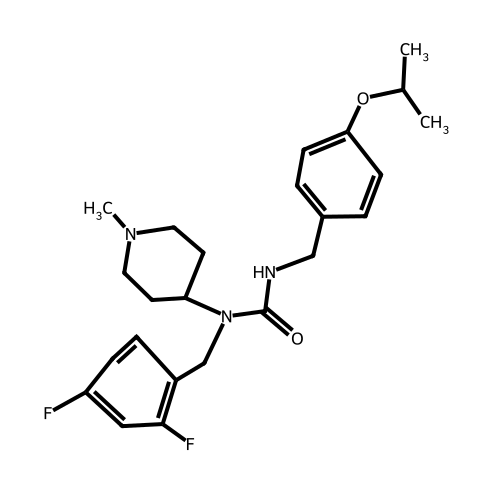 CC(C)Oc1ccc(CNC(=O)N(Cc2ccc(F)cc2F)C2CCN(C)CC2)cc1